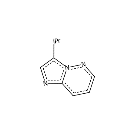 CC(C)c1cnc2cccnn12